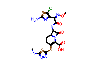 CNc1nnc(SC2=C(C(=O)O)N3C(=O)C(NC(=O)/C(=N\OC)c4nc(N)sc4Cl)C3CC2)s1